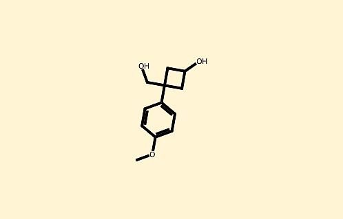 COc1ccc(C2(CO)CC(O)C2)cc1